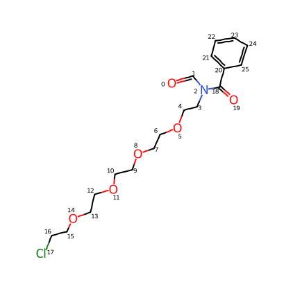 O=CN(CCOCCOCCOCCOCCCl)C(=O)c1ccccc1